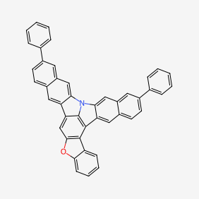 c1ccc(-c2ccc3cc4c5cc6oc7ccccc7c6c6c7cc8ccc(-c9ccccc9)cc8cc7n(c4cc3c2)c56)cc1